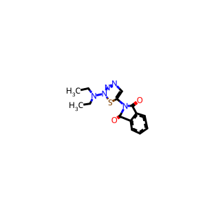 CCN(CC)N1N=NC=C(N2C(=O)c3ccccc3C2=O)S1